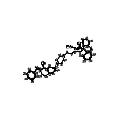 CCNC(=O)C1(CCCCN2CCN(c3ccc4c(c3)C(=O)N(Cc3ccccc3)CC4)CC2)c2ccccc2Sc2ccccc21